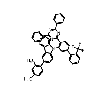 Cc1ccc(-c2ccc3c(c2)c2ccccc2n3-c2cc(-c3ccccc3C(F)(F)F)ccc2-c2nc(-c3ccccc3)nc(-c3ccccc3)n2)c(C)c1